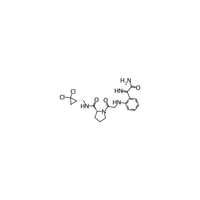 N=C(C(N)=O)c1ccccc1NCC(=O)N1CCC[C@H]1C(=O)NC[C@@H]1CC1(Cl)Cl